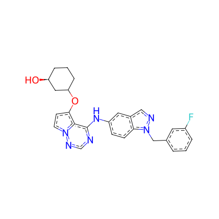 O[C@H]1CCCC(Oc2ccn3ncnc(Nc4ccc5c(cnn5Cc5cccc(F)c5)c4)c23)C1